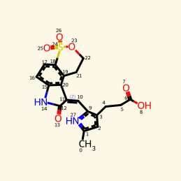 Cc1cc(CCC(=O)O)c(/C=C2\C(=O)Nc3ccc4c(c32)CCOS4(=O)=O)[nH]1